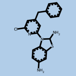 Nc1ccc2c(c1)SC(N)N2c1cc(Cc2ccccc2)cc(Cl)n1